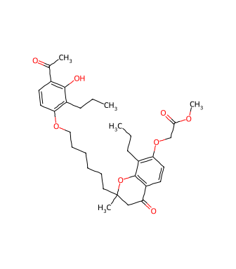 CCCc1c(OCCCCCCC2(C)CC(=O)c3ccc(OCC(=O)OC)c(CCC)c3O2)ccc(C(C)=O)c1O